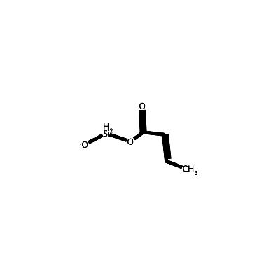 CC=CC(=O)O[SiH2][O]